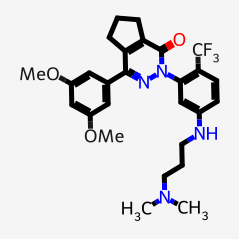 COc1cc(OC)cc(-c2nn(-c3cc(NCCCN(C)C)ccc3C(F)(F)F)c(=O)c3c2CCC3)c1